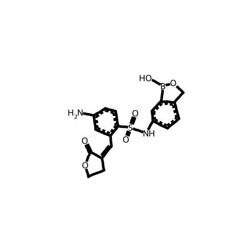 Nc1ccc(S(=O)(=O)Nc2ccc3c(c2)B(O)OC3)c(C=C2CCOC2=O)c1